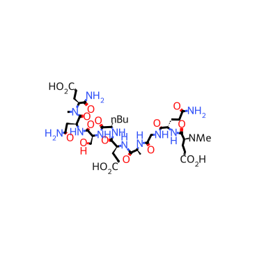 CCCC[C@H](NC(=O)[C@H](CCC(=O)O)NC(=O)[C@H](C)NC(=O)CNC(=O)[C@H](CCC(N)=O)NC(=O)[C@H](CCC(=O)O)NC)C(=O)N[C@@H](CO)C(=O)N[C@@H](CC(N)=O)C(=O)N(C)[C@@H](CCC(=O)O)C(N)=O